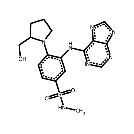 CNS(=O)(=O)c1ccc(N2CCCC2CO)c(Nc2[nH]cnc3ncnc2-3)c1